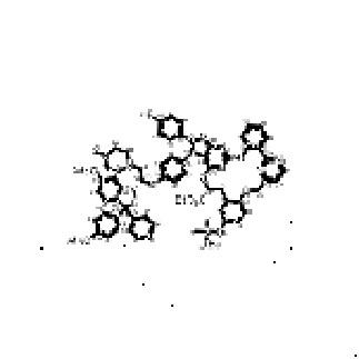 CCOC(=O)[C@@H](Cc1cc(O[Si](C)(C)C(C)(C)C)ccc1OCc1ccnc(-c2ccccc2OC)n1)Oc1ncnc2oc(-c3ccc(F)cc3)c(-c3ccc(O[C@H](COC(c4ccccc4)(c4ccc(OC)cc4)c4ccc(OC)cc4)CN4CCN(C)CC4)cc3)c12